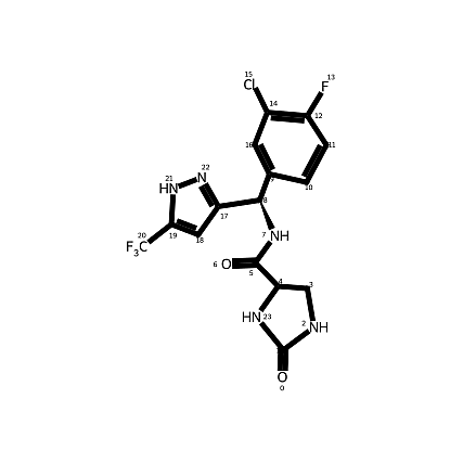 O=C1NCC(C(=O)N[C@H](c2ccc(F)c(Cl)c2)c2cc(C(F)(F)F)[nH]n2)N1